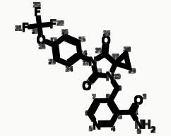 NC(=O)c1cnccc1CN1C(=O)N(c2ccc(OC(F)(F)F)cc2)C(=O)C12CC2